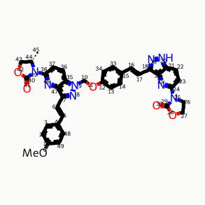 COc1ccc(/C=C/c2nn(COc3ccc(/C=C/c4n[nH]c5ccc(N6CCOC6=O)nc45)cc3)c3ccc(N4C(=O)OC[C@@H]4C)nc23)cc1